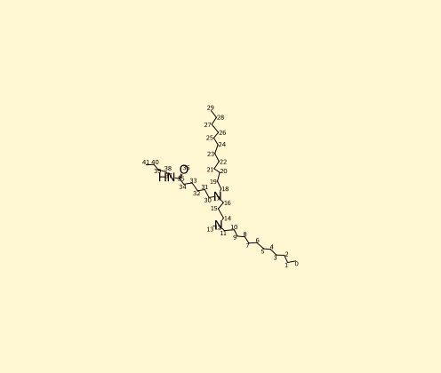 CCCCCCCCCCCCN(C)CCCN(CCCCCCCCCCCC)CCCCCC(=O)NCCCC